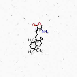 CC1(C)CCC[C@@]2(C)[C@H]1CCC1(CC1)[C@@H]2CC/C=C1/C(=O)OC[C@H]1N